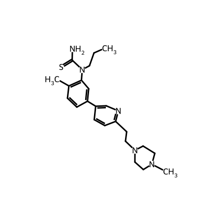 CCCN(C(N)=S)c1cc(-c2ccc(CCN3CCN(C)CC3)nc2)ccc1C